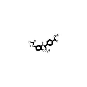 CCCOC(=O)c1ccc(C(=O)Nc2cc(NC(=O)CC)ccc2C(=O)O)cc1